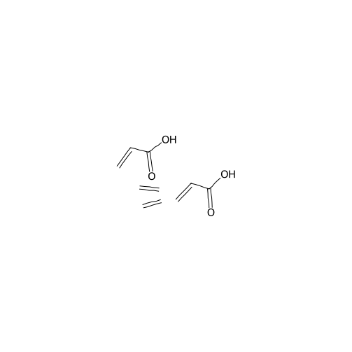 C=C.C=C.C=CC(=O)O.C=CC(=O)O